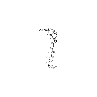 CN[C@@H](C)Cc1cccc(OCCCCCCCCCC(=O)O)c1